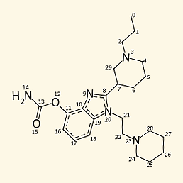 CCCN1CCCC(c2nc3c(OC(N)=O)cccc3n2CCN2CCCCC2)C1